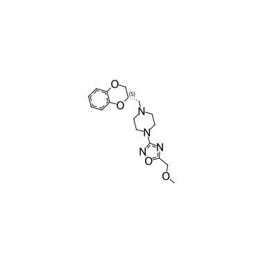 COCc1nc(N2CCN(C[C@H]3COc4ccccc4O3)CC2)no1